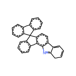 C1=CCC2=Nc3c(ccc4c3-c3ccccc3C43c4ccccc4-c4ccccc43)C2=C1